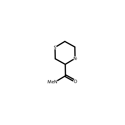 CNC(=O)C1CSCC[N]1